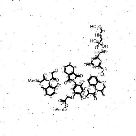 CC1COc2ccccc2N1C(=O)C(Cl)Cl.CCCCCOC(=O)COc1cc(N2C(=O)C3=C(CCCC3)C2=O)c(F)cc1Cl.CCNc1nc(Cl)nc(NC(C)C)n1.CCc1cccc(C)c1N(C(=O)CCl)C(C)COC.O=C(O)CNCP(=O)(O)O